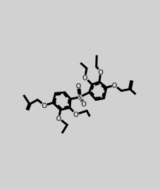 C=C(C)COc1ccc(S(=O)(=O)c2ccc(OCC(=C)C)c(OCC)c2OCC)c(OCC)c1OCC